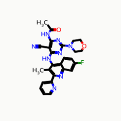 CC(=O)Nc1nc(N2CCOCC2)nc(Nc2c(C)c(-c3ccccn3)nc3cc(F)ccc23)c1C#N